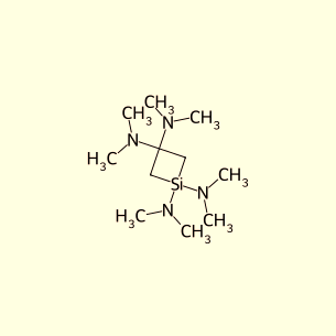 CN(C)C1(N(C)C)C[Si](N(C)C)(N(C)C)C1